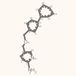 Nc1ccc(COCc2ccc(-c3ccccc3)cc2)cn1